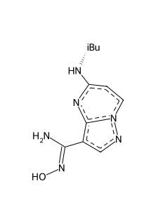 CC[C@@H](C)Nc1ccn2ncc(/C(N)=N/O)c2n1